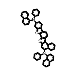 c1ccc(N(c2ccc3c(c2)oc2c3ccc3c2sc2cc(N(c4ccccc4)c4cccc5ccccc45)c4ccccc4c23)c2cccc3ccccc23)cc1